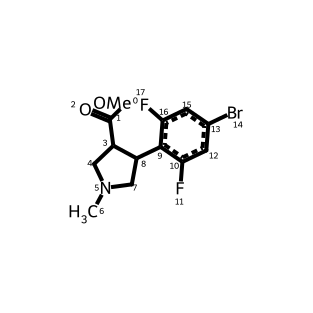 COC(=O)C1CN(C)CC1c1c(F)cc(Br)cc1F